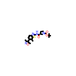 Cc1noc(C)c1-c1ccc2nc(NC(=O)[C@H]3CCN(C(=O)OC(C)(C)C)C3)sc2c1C